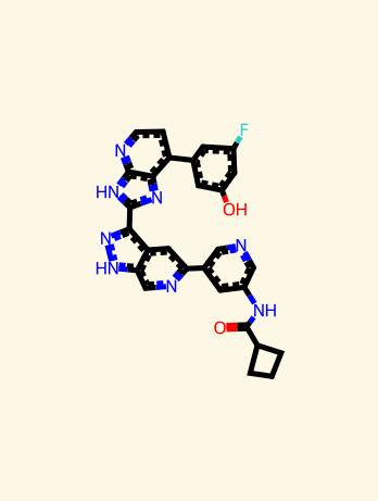 O=C(Nc1cncc(-c2cc3c(-c4nc5c(-c6cc(O)cc(F)c6)ccnc5[nH]4)n[nH]c3cn2)c1)C1CCC1